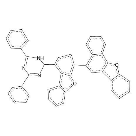 c1ccc(C2=NC(c3ccc(-c4cc5c6ccccc6oc5c5ccccc45)c4oc5ccccc5c34)NC(c3ccccc3)=N2)cc1